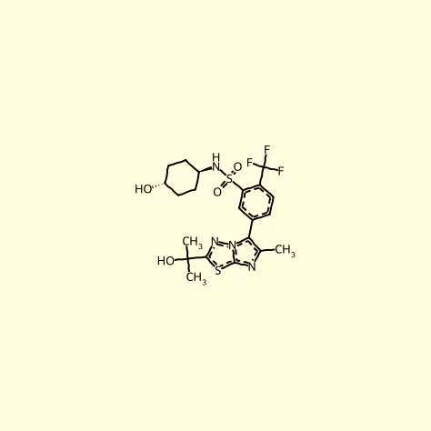 Cc1nc2sc(C(C)(C)O)nn2c1-c1ccc(C(F)(F)F)c(S(=O)(=O)N[C@H]2CC[C@H](O)CC2)c1